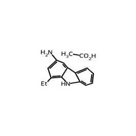 CC(=O)O.CCc1cc(N)cc2c1[nH]c1ccccc12